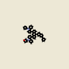 c1ccc(-c2ccc3ccc(-c4c5cccc(-c6cccc7c6c6ccccc6n7-c6ccccc6)c5cc5c(-c6cccc7c6c6ccccc6n7-c6ccccc6)cccc45)cc3c2)cc1